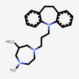 CN1CCN(CCCN2c3ccccc3CCc3ccccc32)CC(C(=O)O)C1